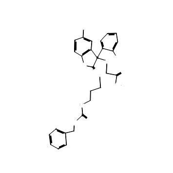 COC(=O)[C@H](CCCCNC(=O)OCc1ccccc1)NC1(c2ccccc2Cl)C(=O)Nc2ccc(Cl)cc21